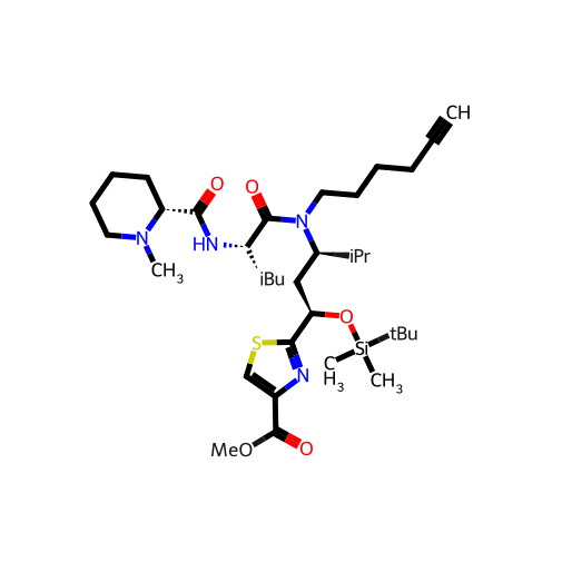 C#CCCCCN(C(=O)[C@@H](NC(=O)[C@H]1CCCCN1C)[C@@H](C)CC)[C@H](C[C@@H](O[Si](C)(C)C(C)(C)C)c1nc(C(=O)OC)cs1)C(C)C